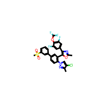 Cc1nc(-c2cc(F)c(OC(F)F)c(F)c2)c(-c2cc(-c3cccc(S(C)(=O)=O)c3)ccc2-n2cc(Cl)c(C)n2)o1